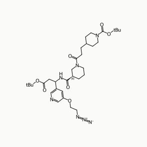 CC(C)(C)OC(=O)CC(NC(=O)[C@@H]1CCCN(C(=O)CCC2CCN(C(=O)OC(C)(C)C)CC2)C1)c1cncc(OCCN=[N+]=[N-])c1